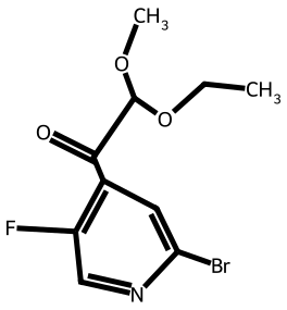 CCOC(OC)C(=O)c1cc(Br)ncc1F